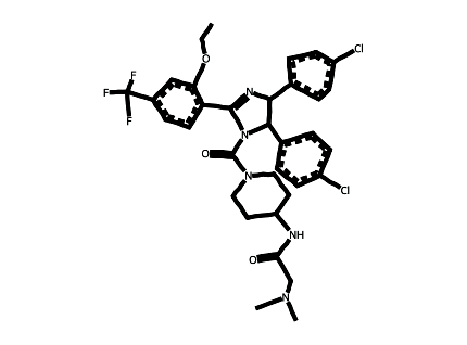 CCOc1cc(C(F)(F)F)ccc1C1=NC(c2ccc(Cl)cc2)C(c2ccc(Cl)cc2)N1C(=O)N1CCC(NC(=O)CN(C)C)CC1